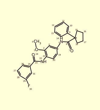 COc1cc(NC(=O)C2(c3ccccc3)CCCC2)ccc1NC(=O)c1cccc(F)c1